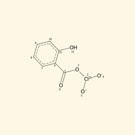 O=C(O[Cl+2]([O-])[O-])c1ccccc1O